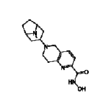 CN1C2CCC1CC(N1CCc3nc(C(=O)NO)ccc3C1)C2